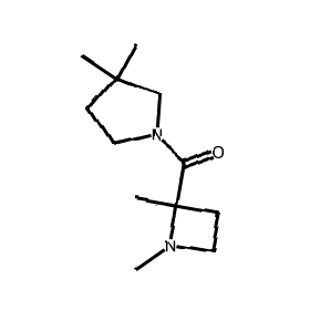 CN1CCC1(C)C(=O)N1CCC(C)(C)C1